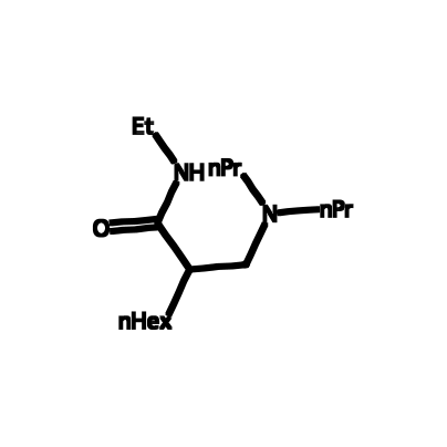 CCCCCCC(CN(CCC)CCC)C(=O)NCC